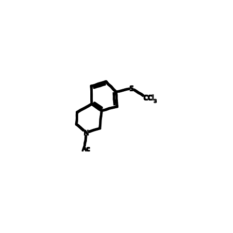 CC(=O)N1CCc2ccc(SC(Cl)(Cl)Cl)cc2C1